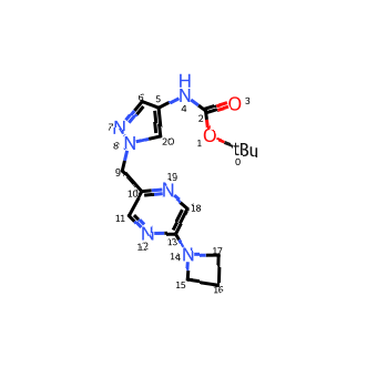 CC(C)(C)OC(=O)Nc1cnn(Cc2cnc(N3CCC3)cn2)c1